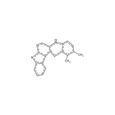 Cc1ccc2[nH]c3ccc4nc5ccccc5c4c3cc2c1C